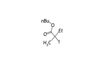 CCCCOC(=O)C(C)(I)CC